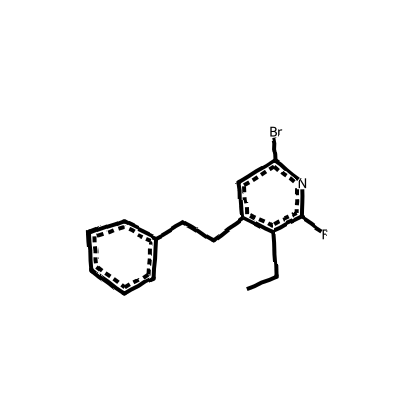 CCc1c(CCc2ccccc2)cc(Br)nc1F